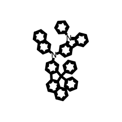 c1ccc(-n2c3ccccc3c3ccc(N(c4ccc5c(c4)C(c4ccccc4)(c4ccccc4)c4c-5ccc5ccccc45)c4ccc5ccccc5c4)cc32)cc1